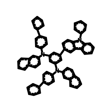 c1ccc(-c2ccc(N(c3cc(-c4ccc5c(c4)c4ccccc4n5-c4ccccc4)cc(N(c4ccc(-c5ccccc5)cc4)c4ccc5ccccc5c4)c3)c3ccc4ccccc4c3)cc2)cc1